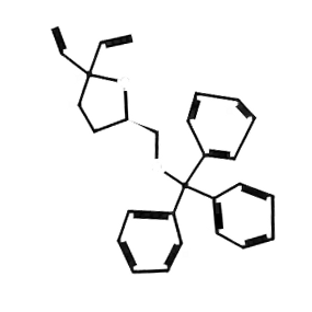 C=CC1(C=C)CC[C@H](COC(c2ccccc2)(c2ccccc2)c2ccccc2)O1